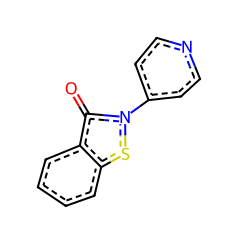 O=c1c2ccccc2sn1-c1ccncc1